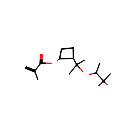 C=C(C)C(=O)OC1CCC1C(C)(C)OC(C)C(C)(O)C(F)(F)F